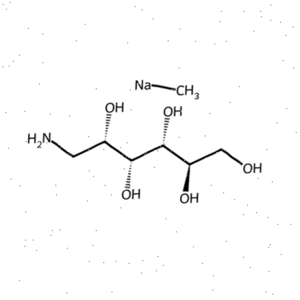 NC[C@H](O)[C@@H](O)[C@H](O)[C@H](O)CO.[CH3][Na]